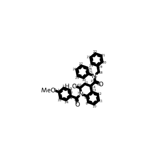 COc1ccc(C(=O)N2c3ccccc3C(C(=O)N(Cc3ccccc3)c3ccccc3)CC2C)cc1